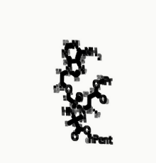 CCCCCOC(=O)C(C)(C)NP(=O)(CO[C@H](C)Cn1cnc2c(N)ncnc21)N[C@@H](C)CC(=O)OC(C)C